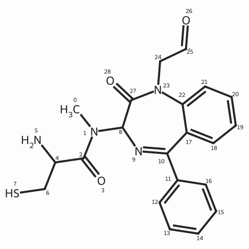 CN(C(=O)C(N)CS)C1N=C(c2ccccc2)c2ccccc2N(C[C]=O)C1=O